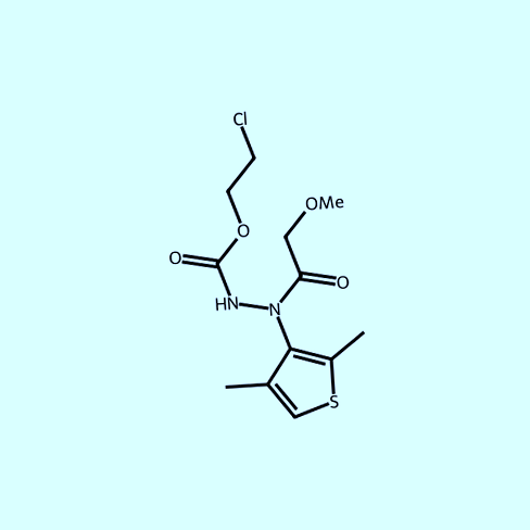 COCC(=O)N(NC(=O)OCCCl)c1c(C)csc1C